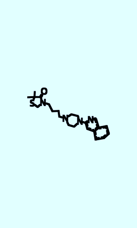 CC1(C)SCN(CCCCN2CCN(c3cc4ccccc4cn3)CC2)C1=O